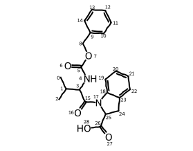 CC(C)C(NC(=O)OCc1ccccc1)C(=O)N1c2ccccc2CC1C(=O)O